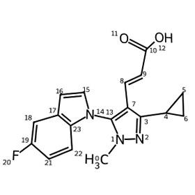 Cn1nc(C2CC2)c(C=CC(=O)O)c1-n1ccc2cc(F)ccc21